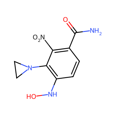 NC(=O)c1ccc(NO)c(N2CC2)c1[N+](=O)[O-]